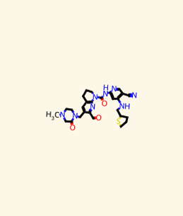 CN1CCN(Cc2cc3c(nc2C=O)N(C(=O)Nc2cc(NCC4CCCS4)c(C#N)cn2)CCC3)C(=O)C1